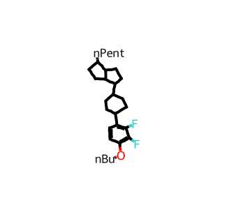 CCCCCC1CCC2C(C3CCC(c4ccc(OCCCC)c(F)c4F)CC3)CCC12